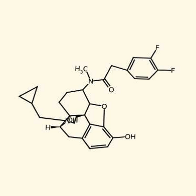 CN(C(=O)Cc1ccc(F)c(F)c1)C1CC[C@@]2(O)[C@H]3Cc4ccc(O)c5c4[C@@]2(CCN3CC2CC2)C1O5